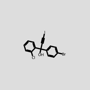 OC(C#CI)(c1ccc(Br)cc1)c1ccccc1Cl